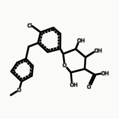 COc1ccc(Cc2cc(C3OC(O)C(C(=O)O)C(O)C3O)ccc2Cl)cc1